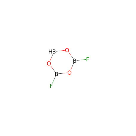 FB1OBOB(F)O1